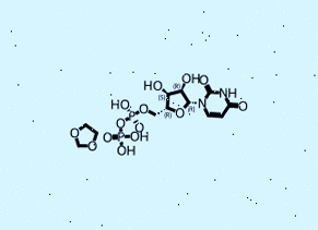 C1COCO1.O=c1ccn([C@@H]2O[C@H](COP(=O)(O)OP(=O)(O)O)[C@@H](O)[C@H]2O)c(=O)[nH]1